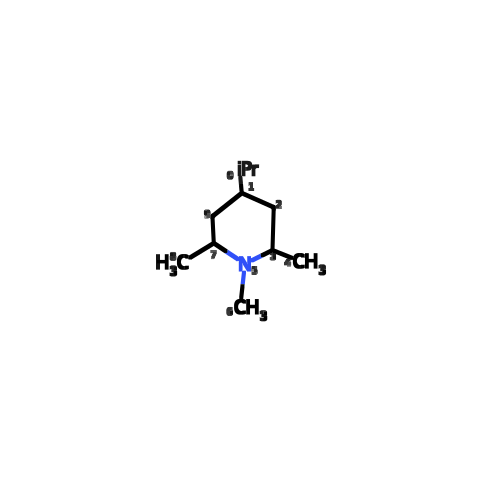 CC(C)C1CC(C)N(C)C(C)C1